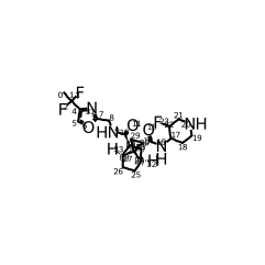 CC(F)(F)c1coc(CNC(=O)[C@H]2[C@H](C(=O)NC3CCNCC3F)[C@H]3CC[C@@H]2C32CC2)n1